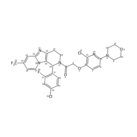 O=C(COc1ccc(N2CCOCC2)nc1Cl)N1CCc2nc3cc(C(F)(F)F)ccn3c2C1c1ccc(Cl)cc1F